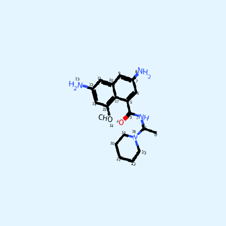 CC(NC(=O)c1cc(N)cc2cc(N)cc(C=O)c12)N1CCCCC1